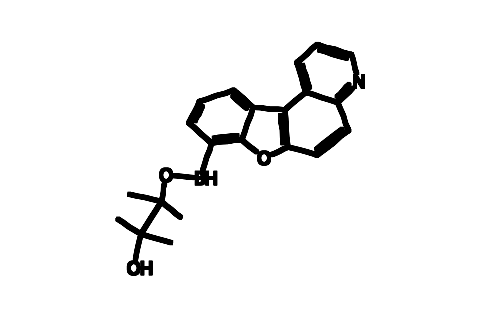 CC(C)(O)C(C)(C)OBc1cccc2c1oc1ccc3ncccc3c12